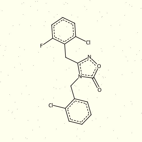 O=c1onc(Cc2c(F)cccc2Cl)n1Cc1ccccc1Cl